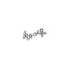 CC(C)(C)c1cc(-c2nc(C3CCN(C(=O)Cn4c(=O)[nH]c5ccccc54)CC3)sc2Cl)nc(C(C)(C)C)n1